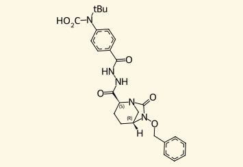 CC(C)(C)N(C(=O)O)c1ccc(C(=O)NNC(=O)[C@@H]2CC[C@@H]3CN2C(=O)N3OCc2ccccc2)cc1